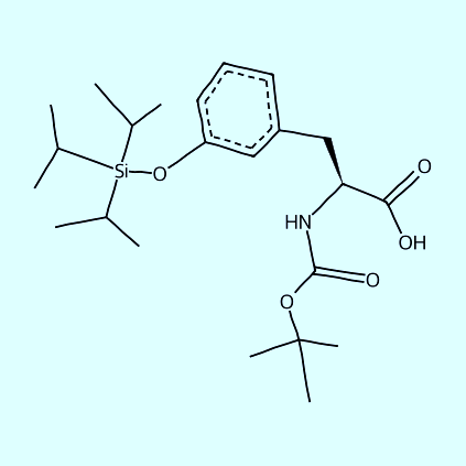 CC(C)[Si](Oc1cccc(C[C@H](NC(=O)OC(C)(C)C)C(=O)O)c1)(C(C)C)C(C)C